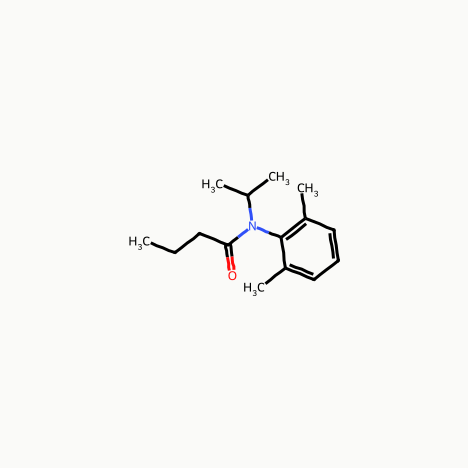 CCCC(=O)N(c1c(C)cccc1C)C(C)C